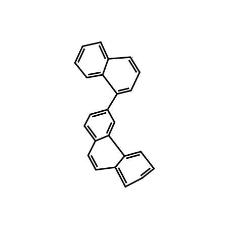 [c]1ccc(-c2ccc3ccc4ccccc4c3c2)c2ccccc12